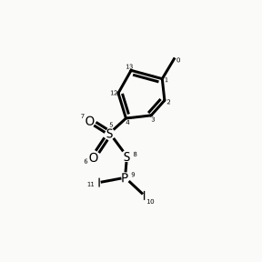 Cc1ccc(S(=O)(=O)SP(I)I)cc1